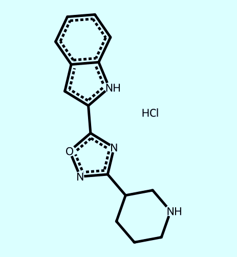 Cl.c1ccc2[nH]c(-c3nc(C4CCCNC4)no3)cc2c1